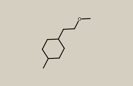 COCCC1CCC(C)CC1